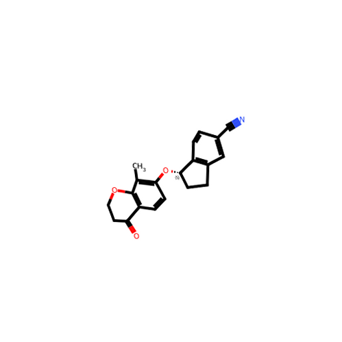 Cc1c(O[C@H]2CCc3cc(C#N)ccc32)ccc2c1OCCC2=O